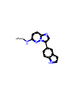 CCCCCNc1ccc2ncc(-c3ccc4[nH]ccc4c3)n2n1